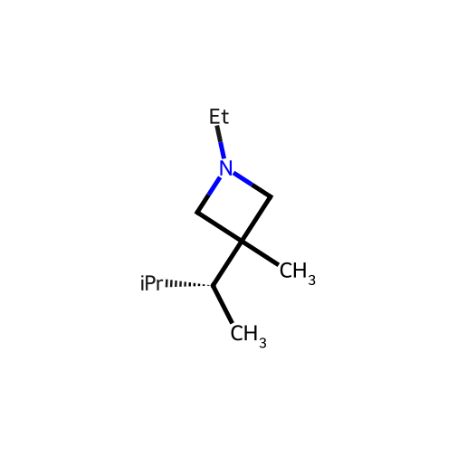 CCN1CC(C)([C@H](C)C(C)C)C1